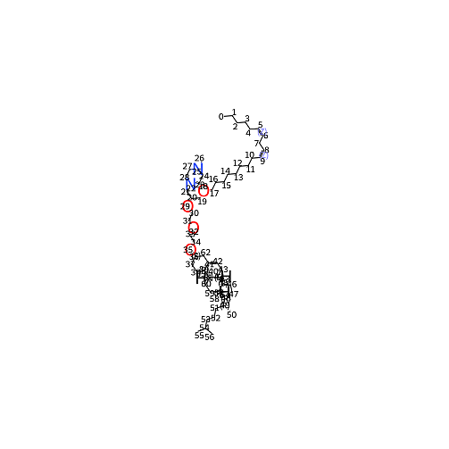 CCCCC/C=C\C/C=C\CCCCCCCCOCC(CN1CCN(C)CC1)OCCOCCO[C@H]1CC[C@@]2(C)C(=CC[C@H]3[C@@H]4CC[C@H]([C@H](C)CCCC(C)C)[C@@]4(C)CC[C@@H]32)C1